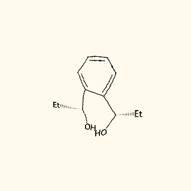 CC[C@@H](O)c1ccccc1[C@@H](O)CC